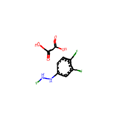 FNNc1ccc(F)c(F)c1.O=C(O)C(=O)O